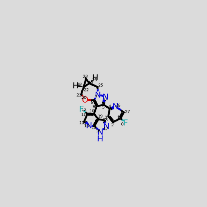 Fc1ccc(-c2nn3c(c2-c2c(F)cnc4[nH]ncc24)OC[C@@H]2C[C@@H]2C3)nc1